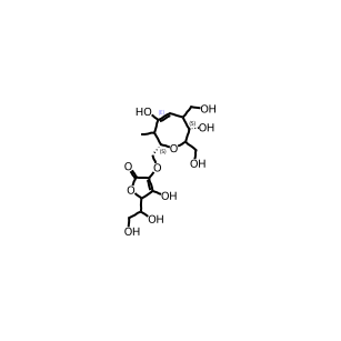 CC1/C(O)=C\C(CO)[C@H](O)C(CO)O[C@@H]1COC1=C(O)C(C(O)CO)OC1=O